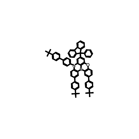 CC(C)(C)c1ccc(-c2ccc(N3c4ccc(-c5ccc(C(C)(C)C)cc5)cc4B4c5cc(-c6ccc(C(C)(C)C)cc6)ccc5Oc5cc(C6(c7ccccc7)c7ccccc7-c7ccccc76)cc3c54)cc2)cc1